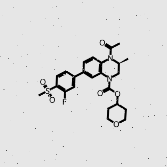 CC(=O)N1c2ccc(-c3ccc(S(C)(=O)=O)c(F)c3)cc2N(C(=O)OC2CCOCC2)C[C@@H]1C